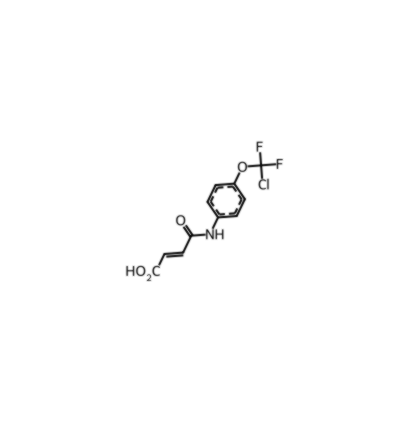 O=C(O)C=CC(=O)Nc1ccc(OC(F)(F)Cl)cc1